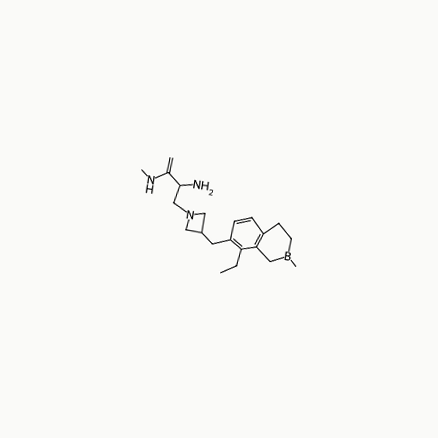 C=C(NC)C(N)CN1CC(Cc2ccc3c(c2CC)CB(C)CC3)C1